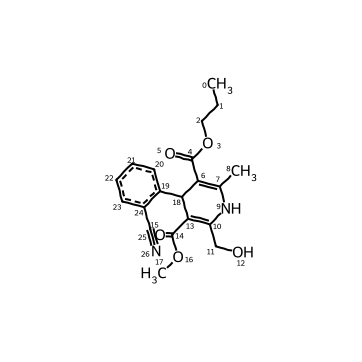 CCCOC(=O)C1=C(C)NC(CO)=C(C(=O)OC)C1c1ccccc1C#N